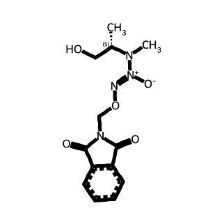 C[C@@H](CO)N(C)[N+]([O-])=NOCN1C(=O)c2ccccc2C1=O